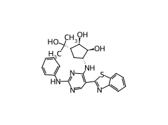 CC(C)(O)[C@H]1C[C@@H](Nc2nc(Nc3ccccc3)ncc2-c2nc3ccccc3s2)[C@H](O)[C@@H]1O